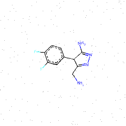 NCC1=NN=C(N)C1c1ccc(F)c(F)c1